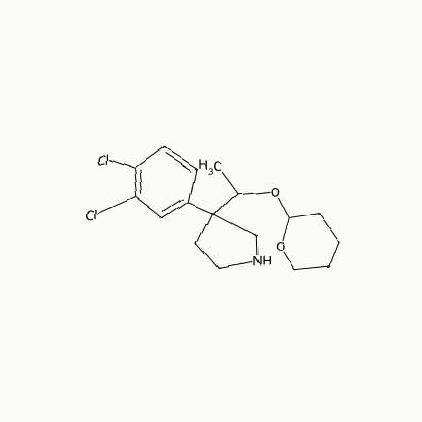 CC(OC1CCCCO1)C1(c2ccc(Cl)c(Cl)c2)CCNC1